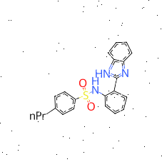 CCCc1ccc(S(=O)(=O)Nc2ccccc2-c2nc3ccccc3[nH]2)cc1